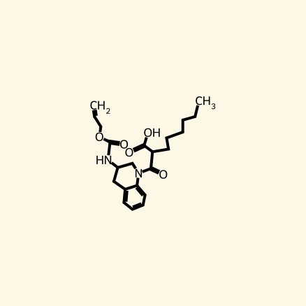 C=CCOC(=O)NC1Cc2ccccc2N(C(=O)C(CCCCCC)C(=O)O)C1